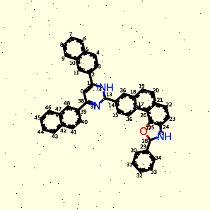 C1=C(c2ccc3ccccc3c2)NC(c2ccc3c(ccc4ccc5c(c43)OC(c3ccccc3)N5)c2)N=C1c1ccc2ccccc2c1